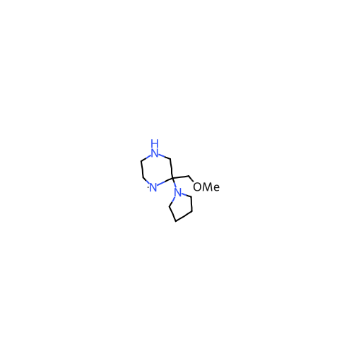 COCC1(N2CCCC2)CNCC[N]1